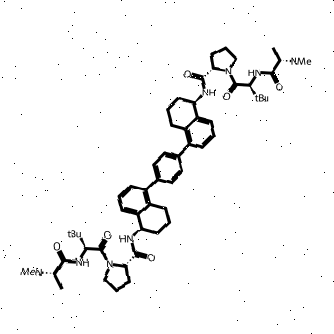 CN[C@@H](C)C(=O)N[C@H](C(=O)N1CCC[C@H]1C(=O)N[C@@H]1CCCc2c(-c3ccc(-c4cccc5c4CCC[C@H]5NC(=O)[C@@H]4CCCN4C(=O)[C@@H](NC(=O)[C@H](C)NC)C(C)(C)C)cc3)cccc21)C(C)(C)C